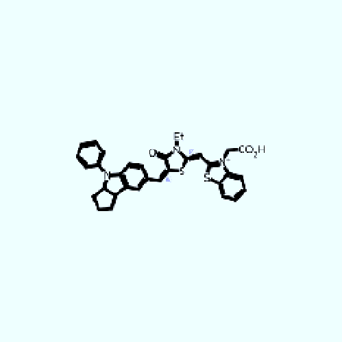 CCn1c(=O)/c(=C\c2ccc3c(c2)C2CCCC2N3c2ccccc2)s/c1=C\c1sc2ccccc2[n+]1CC(=O)O